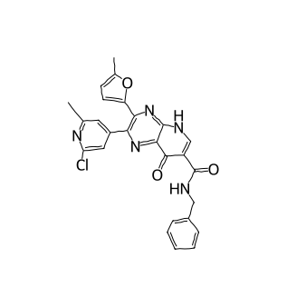 Cc1cc(-c2nc3c(=O)c(C(=O)NCc4ccccc4)c[nH]c3nc2-c2ccc(C)o2)cc(Cl)n1